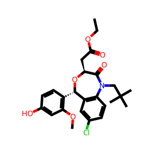 CCOC(=O)C[C@@H]1O[C@@H](c2ccc(O)cc2OC)c2cc(Cl)ccc2N(CC(C)(C)C)C1=O